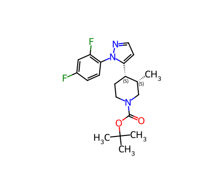 C[C@@H]1CN(C(=O)OC(C)(C)C)CC[C@@H]1c1ccnn1-c1ccc(F)cc1F